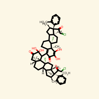 C[C@@H]1CC2C3CCC4=C(C5C(O)(O)C(=O)C[C@H]6CC[C@H]7[C@@H]8C[C@H](C)[C@@](C(=O)CCl)(c9ccccc9C(=O)O)[C@@]8(C)CC[C@]7(F)[C@@]56C)C(=O)C(O)=C(O)[C@]4(C)[C@]3(F)CC[C@]2(C)[C@]1(C(=O)CCl)c1ccccc1C(=O)O